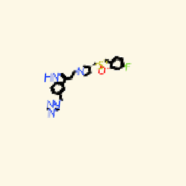 [O-][S+](Cc1ccc(F)cc1)C[C@@H]1CCN(CCc2c[nH]c3ccc(Cn4cncn4)cc23)C1